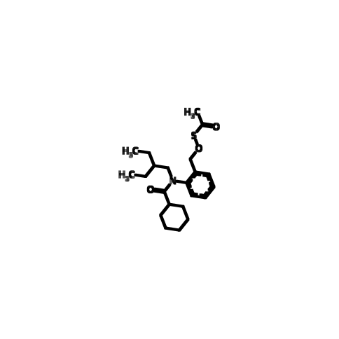 CCC(CC)CN(C(=O)C1CCCCC1)c1ccccc1COSC(C)=O